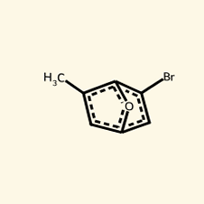 Cc1cc2cc(Br)c1o2